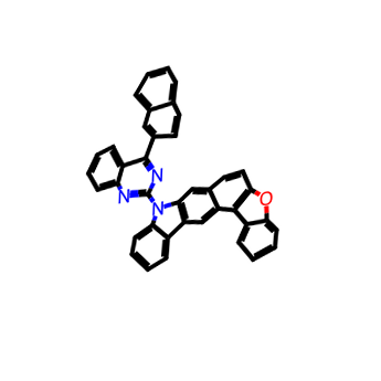 c1ccc2cc(-c3nc(-n4c5ccccc5c5cc6c(ccc7oc8ccccc8c76)cc54)nc4ccccc34)ccc2c1